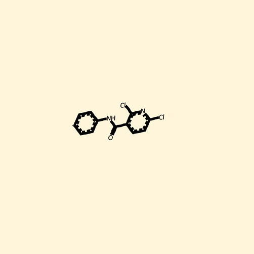 O=C(Nc1cc[c]cc1)c1ccc(Cl)nc1Cl